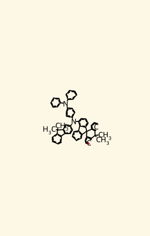 CC1(C)c2ccccc2-c2ccc(N(c3ccc(N(c4ccccc4)c4ccccc4)cc3)c3cccc4c3-c3ccccc3C43c4ccccc4C(C)(C)c4ccccc43)cc21